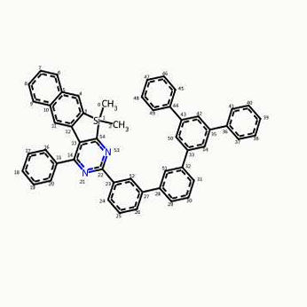 C[Si]1(C)c2cc3ccccc3cc2-c2c(-c3ccccc3)nc(-c3cccc(-c4cccc(-c5cc(-c6ccccc6)cc(-c6ccccc6)c5)c4)c3)nc21